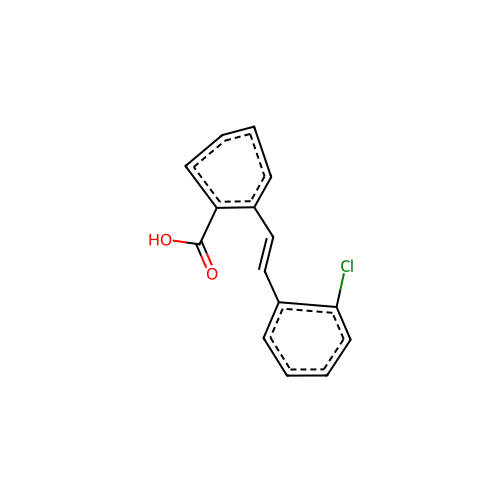 O=C(O)c1ccccc1/C=C/c1ccccc1Cl